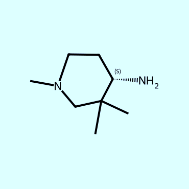 CN1CC[C@H](N)C(C)(C)C1